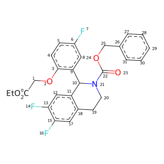 CCOC(=O)COc1ccc(F)cc1C1c2cc(F)c(F)cc2CCN1C(=O)OCc1ccccc1